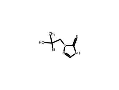 CCC(C)(O)Cn1nc[nH]c1=S